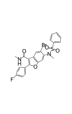 CNC(=O)c1c(-c2ccc(F)cc2)oc2cc(N(C)S(=O)(=O)c3ccccc3)c(Br)cc12